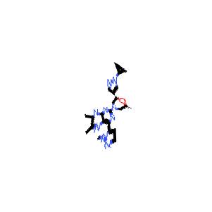 Cc1nc2nc(N3C[C@@H](C)O[C@@H](c4cnn(C5CC5)c4)C3)nc(-c3ccnn3C)c2nc1C